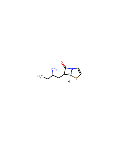 CCC(N)CC1C(=O)N2C=CS[C@@H]12